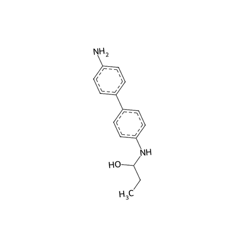 CCC(O)Nc1ccc(-c2ccc(N)cc2)cc1